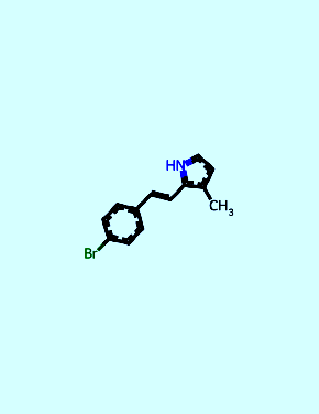 Cc1cc[nH]c1/C=C/c1ccc(Br)cc1